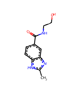 Cc1nc2cc(C(=O)NCCO)ccc2[nH]1